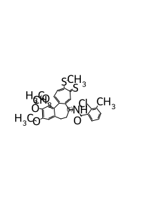 COc1cc2c(c(OC)c1OC)-c1ccc(SC)c(=S)cc1[C@@H](NC(=O)c1cccc(C)c1Cl)CC2